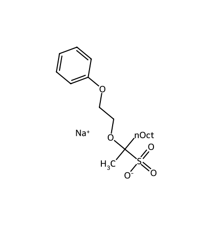 CCCCCCCCC(C)(OCCOc1ccccc1)S(=O)(=O)[O-].[Na+]